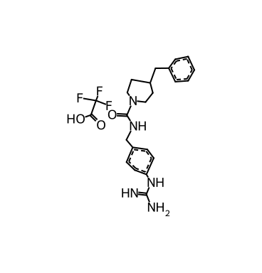 N=C(N)Nc1ccc(CNC(=O)N2CCC(Cc3ccccc3)CC2)cc1.O=C(O)C(F)(F)F